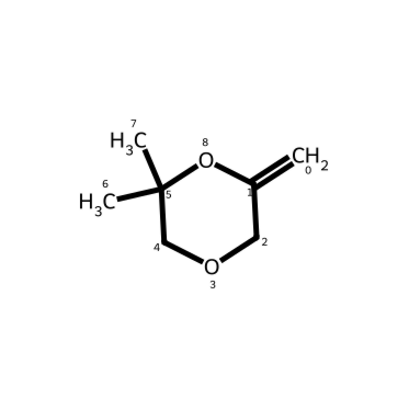 C=C1COCC(C)(C)O1